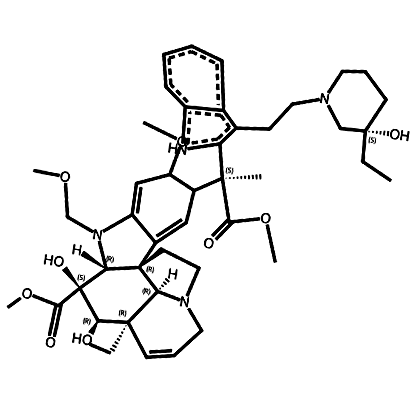 CC[C@]1(O)CCCN(CCc2c([C@@](C)(C(=O)OC)C3C=C4C(=CC3OC)N(COC)[C@H]3[C@@](O)(C(=O)OC)[C@H](O)[C@]5(CC)C=CCN6CC[C@]43[C@@H]65)[nH]c3ccccc23)C1